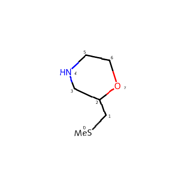 CSCC1CNCCO1